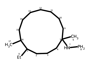 CCC1CCCC(C)(NP)CCCCCCCC1C